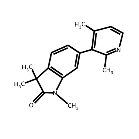 Cc1ccnc(C)c1-c1ccc2c(c1)N(C)C(=O)C2(C)C